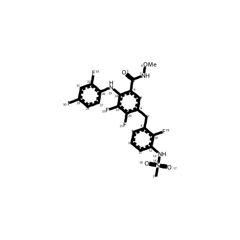 CONC(=O)c1cc(Cc2cccc(NS(C)(=O)=O)c2F)c(F)c(F)c1Nc1ccc(I)cc1F